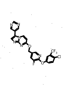 Fc1cc(COc2ccn3c(-c4cncnc4)cnc3n2)cnc1Oc1ccc(Cl)c(C(F)(F)F)c1